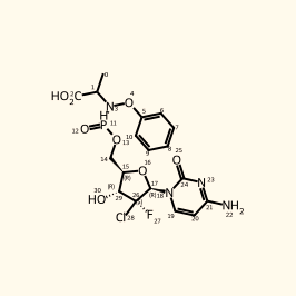 CC(C(=O)O)N(Oc1ccccc1)[PH](=O)OC[C@H]1O[C@@H](n2ccc(N)nc2=O)[C@@](F)(Cl)[C@@H]1O